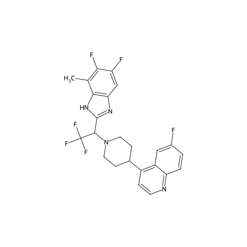 Cc1c(F)c(F)cc2nc(C(N3CCC(c4ccnc5ccc(F)cc45)CC3)C(F)(F)F)[nH]c12